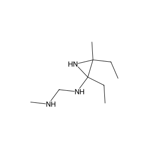 CCC1(C)NC1(CC)NCNC